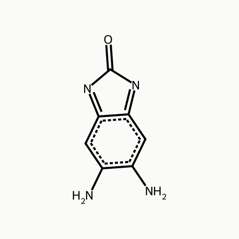 Nc1cc2c(cc1N)=NC(=O)N=2